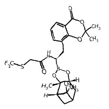 CC1(C)OC(=O)c2cccc(C[C@H](NC(=O)CSC(F)(F)F)B3O[C@@H]4CC5C[C@@H](C5(C)C)[C@]4(C)O3)c2O1